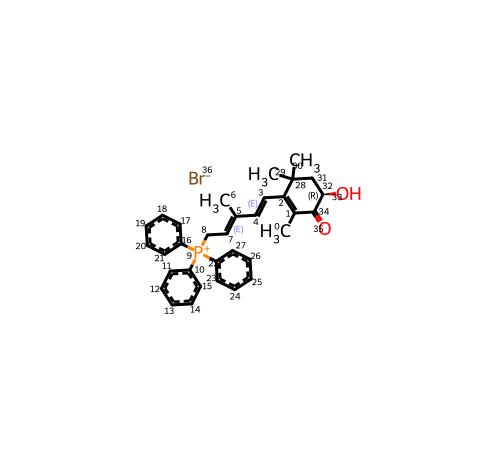 CC1=C(/C=C/C(C)=C/C[P+](c2ccccc2)(c2ccccc2)c2ccccc2)C(C)(C)C[C@@H](O)C1=O.[Br-]